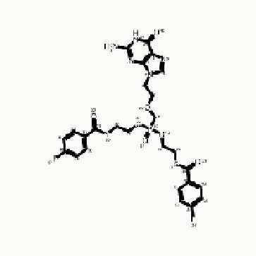 Nc1nc2c(ncn2CCOCP(=O)(OCCSC(=O)c2ccc(F)cc2)OCCSC(=O)c2ccc(F)cc2)c(=O)[nH]1